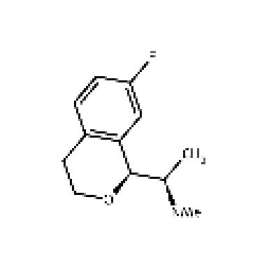 CN[C@H](C)[C@H]1OCCc2ccc(F)cc21